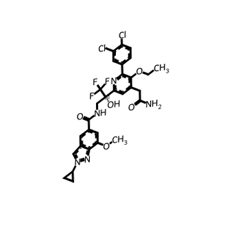 CCOc1c(CC(N)=O)cc([C@@](O)(CNC(=O)c2cc(OC)c3nn(C4CC4)cc3c2)C(F)(F)F)nc1-c1ccc(Cl)c(Cl)c1